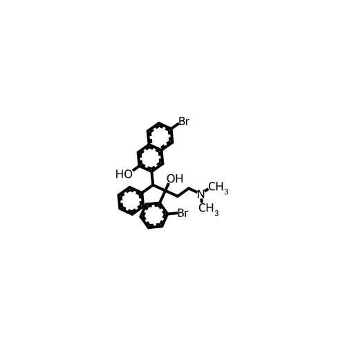 CN(C)CCC(O)(c1ccccc1Br)C(c1ccccc1)c1cc2cc(Br)ccc2cc1O